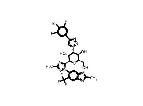 Cc1nc([C@@H]2O[C@H](CO)[C@H](O)[C@H](n3cc(-c4cc(F)c(Br)c(F)c4)nn3)[C@H]2O)n(-c2cc3sc(C)nc3cc2C(F)(F)F)n1